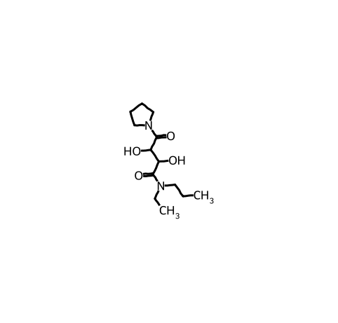 CCCN(CC)C(=O)C(O)C(O)C(=O)N1CCCC1